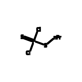 CCCSP(=S)(Cl)Cl